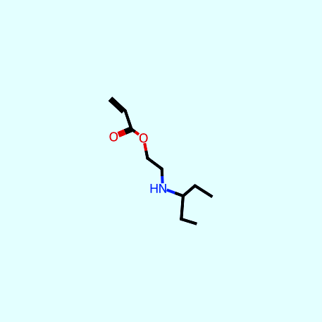 C=CC(=O)OCCNC(CC)CC